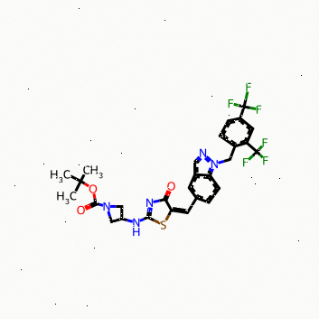 CC(C)(C)OC(=O)N1CC(NC2=NC(=O)C(=Cc3ccc4c(cnn4Cc4ccc(C(F)(F)F)cc4C(F)(F)F)c3)S2)C1